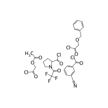 CC(=O)OCC(=O)Cl.N#Cc1cccc(C(=O)Cl)c1.O=C(Cl)C1CCCN1C(=O)C(F)(F)F.O=C(Cl)COCc1ccccc1